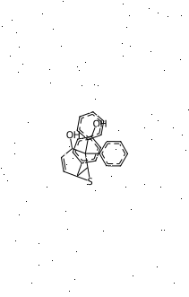 Oc1ccc(C23C=CC(O)C(c4ccccc4)(c4ccccc4)C2S3)cc1